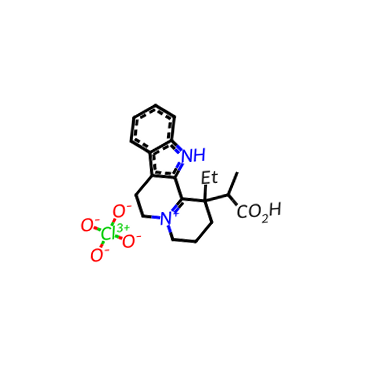 CCC1(C(C)C(=O)O)CCC[N+]2=C1c1[nH]c3ccccc3c1CC2.[O-][Cl+3]([O-])([O-])[O-]